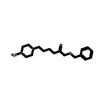 CN1CCN(CCCCC(=O)COCc2ccccc2)CC1